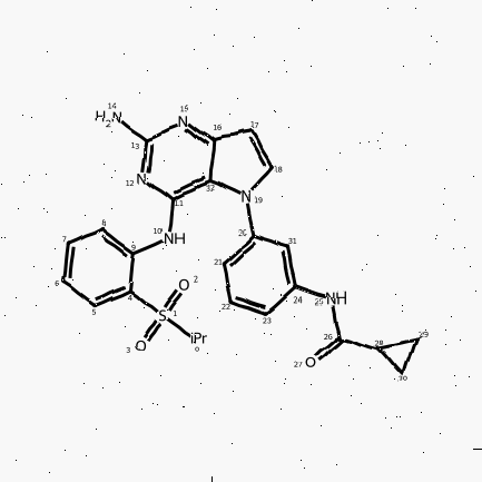 CC(C)S(=O)(=O)c1ccccc1Nc1nc(N)nc2ccn(-c3cccc(NC(=O)C4CC4)c3)c12